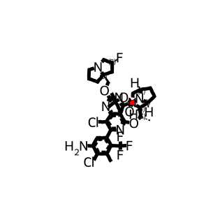 Cc1c(Cl)c(N)cc(-c2nc3c4c(nc(OC[C@@]56CCCN5C[C@H](F)C6)nc4c2Cl)N2C[C@H]4CC[C@@H]([C@H]2[C@H](C)O3)N4C(=O)OC(C)(C)C)c1C(F)(F)F